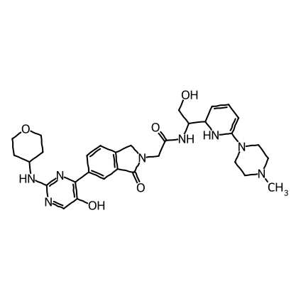 CN1CCN(C2=CC=CC(C(CO)NC(=O)CN3Cc4ccc(-c5nc(NC6CCOCC6)ncc5O)cc4C3=O)N2)CC1